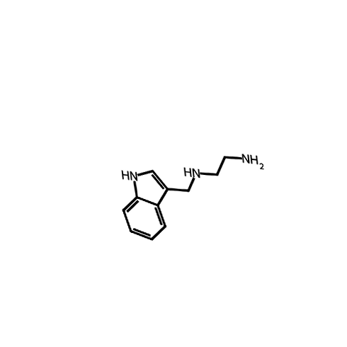 NCCNCc1c[nH]c2ccccc12